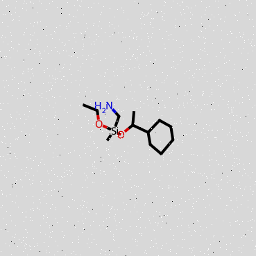 CCO[Si](C)(CN)OC(C)C1CCCCC1